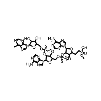 COC1C(CCP(=O)(O)OC)OC(n2cnc3c(N)ncnc32)C1OP(O)(=S)OCC1OC(n2cnc3c(N)ncnc32)C(OP(O)(=S)OCC2OC(n3cnc4c(C)ncnc43)C(O)C2O)C1OC